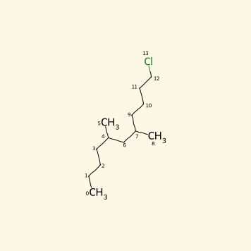 CCCCC(C)CC(C)CCCCCl